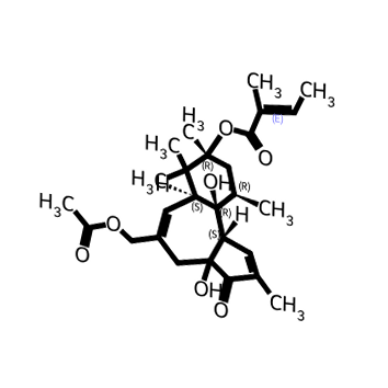 C/C=C(\C)C(=O)O[C@]1(C)C[C@@H](C)[C@]2(O)[C@@H]3C=C(C)C(=O)C3(O)CC(COC(C)=O)=C[C@H]2C1(C)C